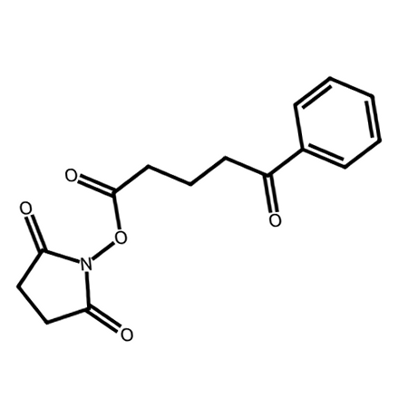 O=C(CCCC(=O)c1ccccc1)ON1C(=O)CCC1=O